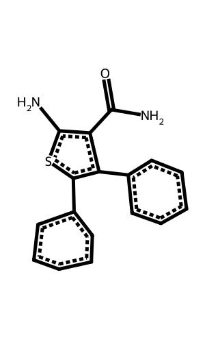 NC(=O)c1c(N)sc(-c2ccccc2)c1-c1ccccc1